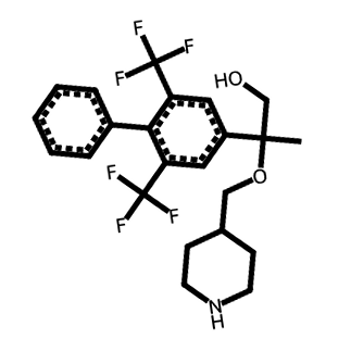 CC(CO)(OCC1CCNCC1)c1cc(C(F)(F)F)c(-c2ccccc2)c(C(F)(F)F)c1